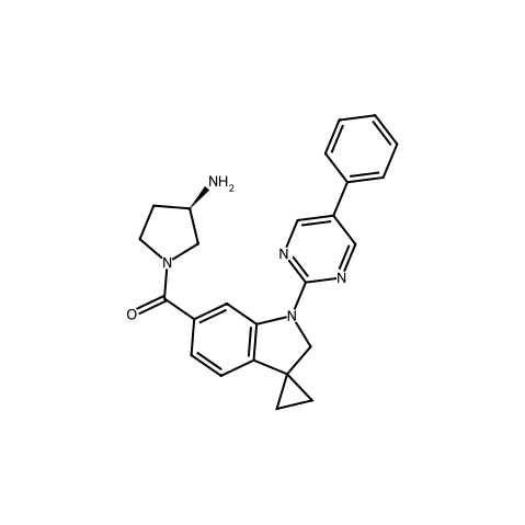 N[C@@H]1CCN(C(=O)c2ccc3c(c2)N(c2ncc(-c4ccccc4)cn2)CC32CC2)C1